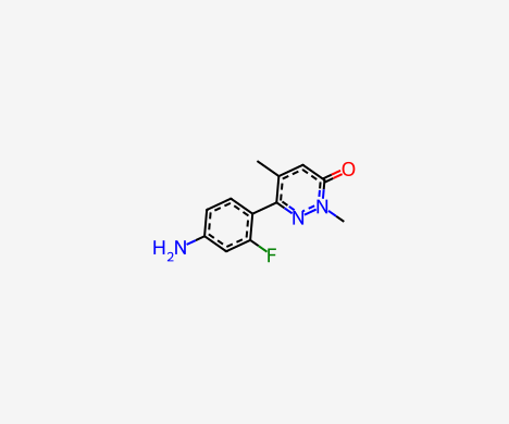 Cc1cc(=O)n(C)nc1-c1ccc(N)cc1F